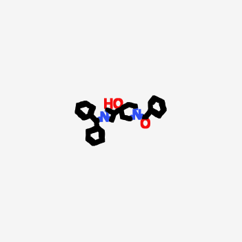 O=C(c1ccccc1)N1CCC(O)(C2CN(C(c3ccccc3)c3ccccc3)C2)CC1